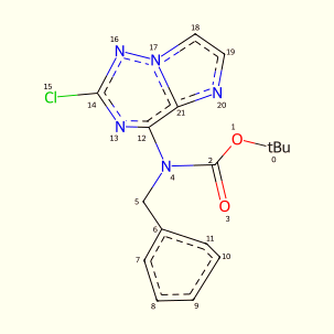 CC(C)(C)OC(=O)N(Cc1ccccc1)c1nc(Cl)nn2ccnc12